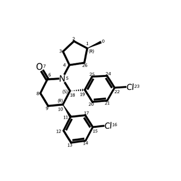 C[C@@H]1CCC(N2C(=O)CC[C@H](c3cccc(Cl)c3)[C@H]2c2ccc(Cl)cc2)C1